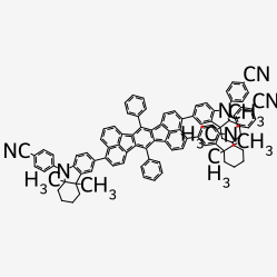 CC12CCCCC1(C)N(c1ccc(C#N)cc1)c1ccc(-c3ccc4c5c(-c6ccccc6)c6c7ccc(-c8ccc9c(c8)C8(C)CCCCC8(C)N9c8ccc(C#N)cc8)c8c(-c9ccc%10c(c9)C9(C)CCCCC9(C)N%10c9ccc(C#N)cc9)ccc(c6c(-c6ccccc6)c5c5cccc3c54)c87)cc12